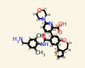 Cc1cc(CN)cc(C)c1NC(=O)c1cc2c(cc1-c1ccc(N3CCOCC3)nc1C(=O)O)OCCc1ccsc1-2